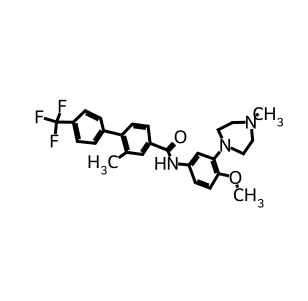 COc1ccc(NC(=O)c2ccc(-c3ccc(C(F)(F)F)cc3)c(C)c2)cc1N1CCN(C)CC1